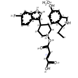 CCC1NCc2cc(O)ccc21.O.O=C(O)/C=C/C(=O)ON1CCC(c2noc3cc(F)ccc23)CC1